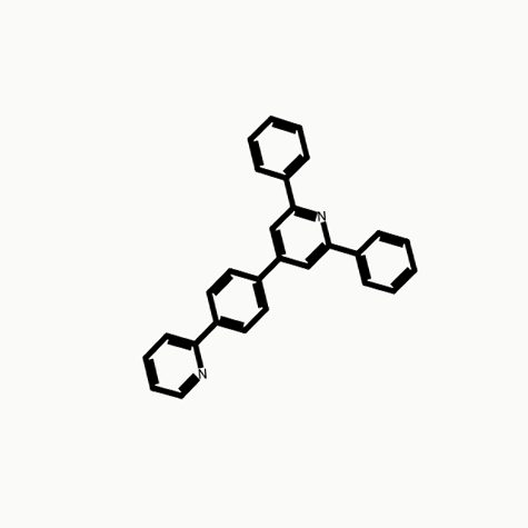 c1ccc(-c2cc(-c3ccc(-c4ccccn4)cc3)cc(-c3ccccc3)n2)cc1